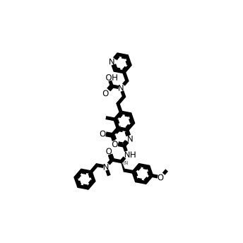 COc1ccc(C[C@H](Nc2nc3ccc(CCN(Cc4cccnc4)C(=O)O)c(C)c3c(=O)o2)C(=O)N(C)Cc2ccccc2)cc1